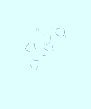 CCOc1cccc(-c2nc3ncc(C(c4cncnc4)S(N)(=O)=O)nc3n2-c2c(OC)cccc2OC)n1